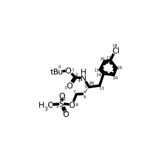 CC(C)(C)OC(=O)N[C@@H](CCOS(C)(=O)=O)Cc1ccc(Cl)cc1